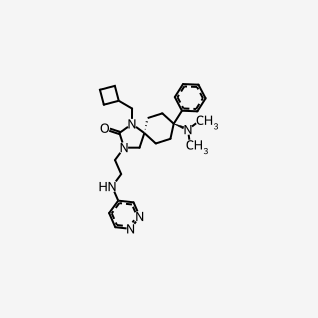 CN(C)[C@]1(c2ccccc2)CC[C@]2(CC1)CN(CCNc1ccnnc1)C(=O)N2CC1CCC1